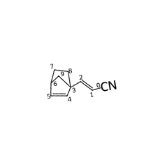 N#CC=CC12C=CC(CC1)C2